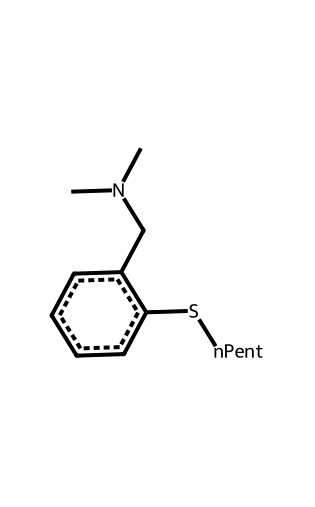 CCCCCSc1ccccc1CN(C)C